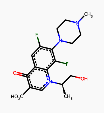 C[C@H](CO)n1cc(C(=O)O)c(=O)c2cc(F)c(N3CCN(C)CC3)c(F)c21